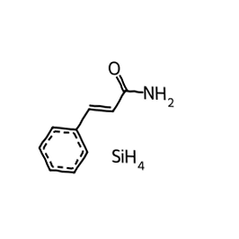 NC(=O)/C=C/c1ccccc1.[SiH4]